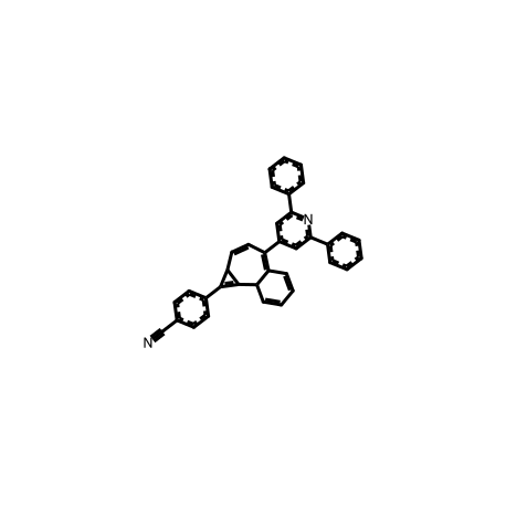 N#Cc1ccc(C2=C3C4C=CC=CC4=C(c4cc(-c5ccccc5)nc(-c5ccccc5)c4)C=CC23)cc1